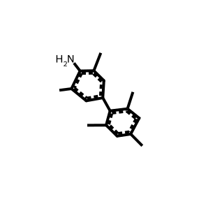 Cc1cc(C)c(-c2cc(C)c(N)c(C)c2)c(C)c1